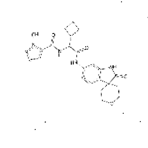 Cn1nccc1C(=O)NC(C(=O)Nc1ccc2c(c1)NC(=O)C21CCOCC1)C1CCC1